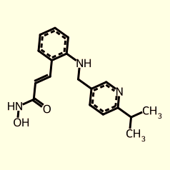 CC(C)c1ccc(CNc2ccccc2C=CC(=O)NO)cn1